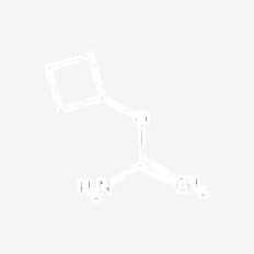 C=C(N)OC1CCC1